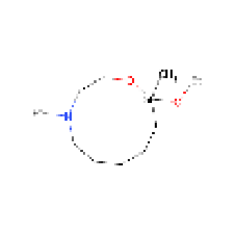 CCO[Si]1(C)CCCCCN(CC)CCO1